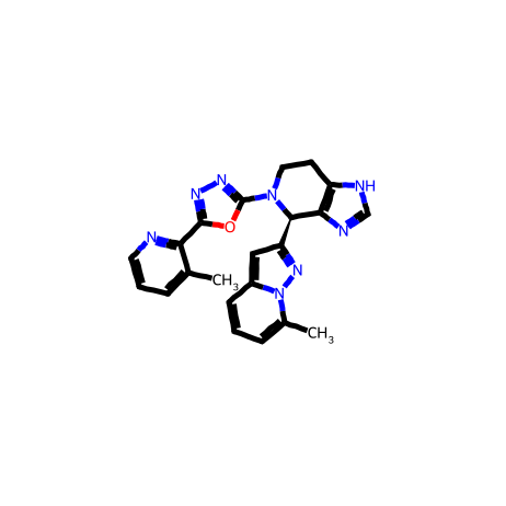 Cc1cccnc1-c1nnc(N2CCc3[nH]cnc3[C@H]2c2cc3cccc(C)n3n2)o1